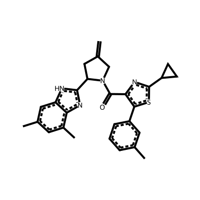 C=C1CC(c2nc3c(C)cc(C)cc3[nH]2)N(C(=O)c2nc(C3CC3)sc2-c2cccc(C)c2)C1